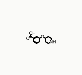 O=C(O)C1=CC(OC2CCNCC2)CC=C1